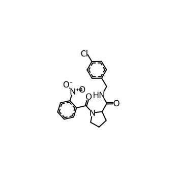 O=C(NCc1ccc(Cl)cc1)C1CCCN1C(=O)c1ccccc1[N+](=O)[O-]